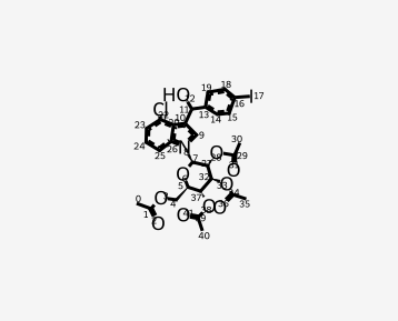 CC(=O)OC[C@H]1O[C@@H](n2cc(C(O)c3ccc(I)cc3)c3c(Cl)cccc32)[C@H](OC(C)=O)[C@@H](OC(C)=O)[C@@H]1OC(C)=O